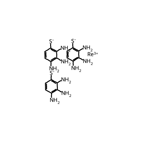 Nc1ccc([S-])c(N)c1N.Nc1ccc([S-])c(N)c1N.Nc1ccc([S-])c(N)c1N.[Re+3]